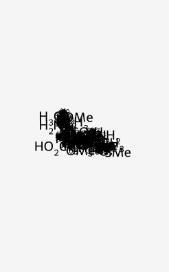 COCC(C)N(CC(=O)N(CCC(=O)O)CC(=O)N(CC(=O)N(CCC(=O)O)CC(=O)N(CC(=O)N(CC(N)=O)C(C)c1ccccc1)C(C)COC)C(C)c1ccccc1)C(=O)CN(C(=O)CN(C(=O)CN(C(=O)CN(CCN)C(=O)CN(C(=O)CN(C(=O)CSC)C(C)c1ccccc1)C(C)c1ccccc1)C(C)c1ccccc1)C(C)c1ccccc1)C(C)c1ccccc1